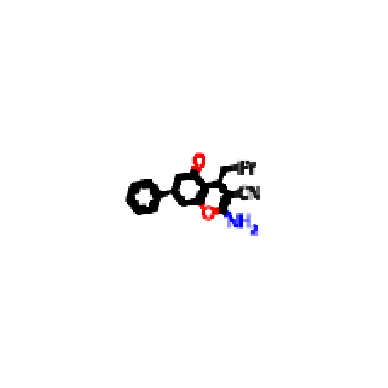 CC(C)C[C@H]1C(C#N)=C(N)OC2=C1C(=O)C[C@H](c1ccccc1)C2